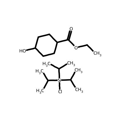 CC(C)[Si](Cl)(C(C)C)C(C)C.CCOC(=O)C1CCC(O)CC1